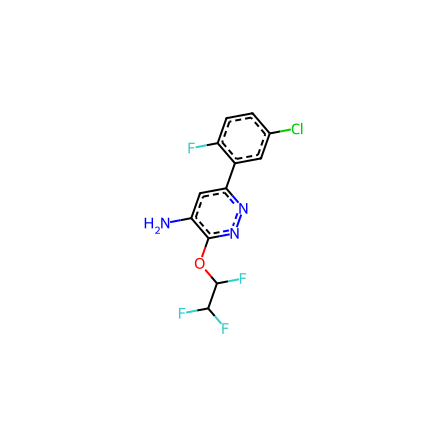 Nc1cc(-c2cc(Cl)ccc2F)nnc1OC(F)C(F)F